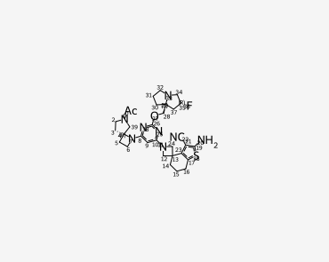 CC(=O)N1CC[C@]2(CCN2c2cc(N3CC4(CCCc5sc(N)c(C#N)c54)C3)nc(OC[C@@]34CCCN3C[C@H](F)C4)n2)C1